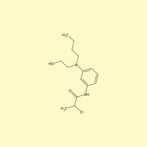 CCCCN(CCO)c1cccc(NC(=O)C(C)Cl)c1